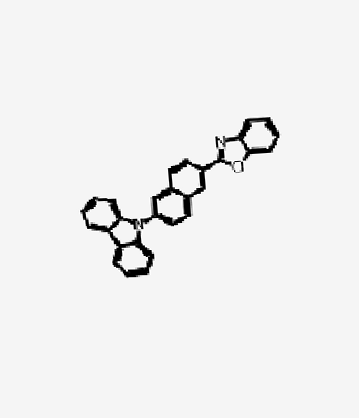 c1ccc2oc(-c3ccc4cc(-n5c6ccccc6c6ccccc65)ccc4c3)nc2c1